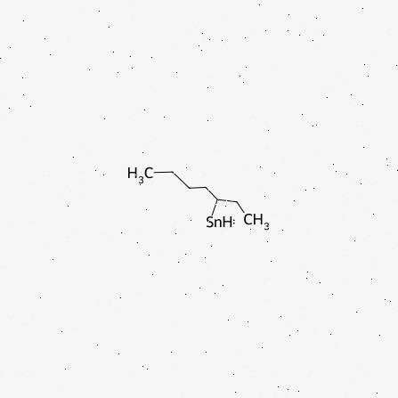 CCCC[CH]([SnH])CC